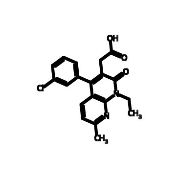 CCn1c(=O)c(CC(=O)O)c(-c2cccc(Cl)c2)c2ccc(C)nc21